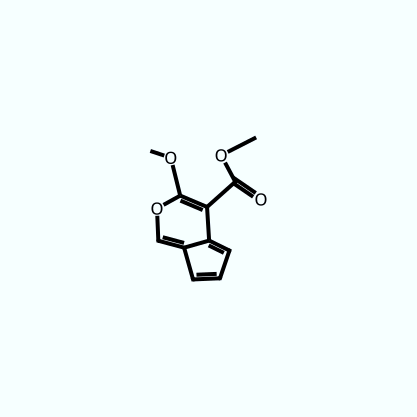 COC(=O)c1c2cccc-2coc1OC